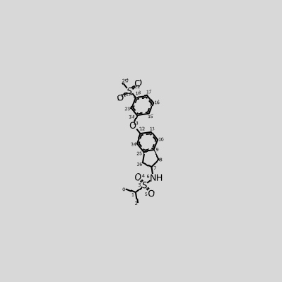 CC(C)S(=O)(=O)NC1Cc2ccc(Oc3cccc(S(C)(=O)=O)c3)cc2C1